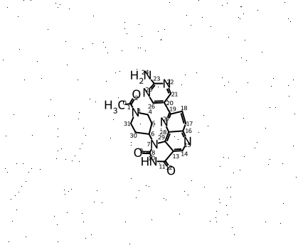 CC(=O)N1CCC(n2c(=O)[nH]c(=O)c3cnc4ccc(-c5cnc(N)nc5)nc4c32)CC1